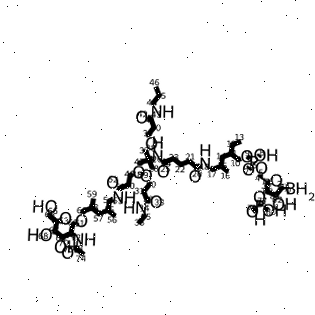 B[C@@H]1O[C@H](COP(=O)(O)OCC(CC)CC(C)CNC(=O)CCCC(=O)NC(COCCC(=O)NCC)(COCCC(=O)NCCC)COCCC(=O)NCC(C)CC(C)COC2OC(CO)C(O)C(O)C2NC(C)=O)[C@@H](O[PH](=O)O)C1O